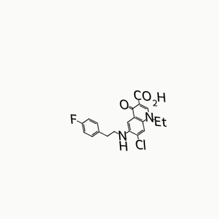 CCn1cc(C(=O)O)c(=O)c2cc(NCCc3ccc(F)cc3)c(Cl)cc21